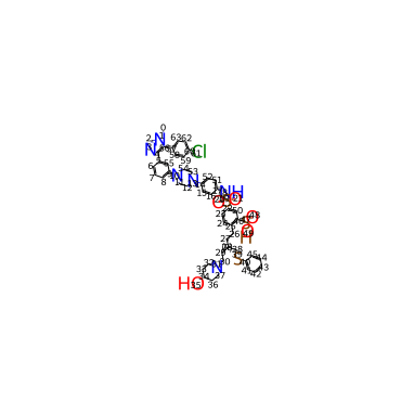 Cn1cnc(-c2cccc(N3CCN(c4ccc(NS(=O)(=O)c5ccc(CC[C@H](CCN6CCC(O)CC6)CSc6ccccc6)c([SH](=O)=O)c5)cc4)CC3)c2)c1-c1ccc(Cl)cc1